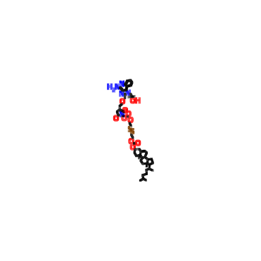 CC(C)CCCC(C)C1CCC2C3CC=C4CC(OC(=O)OCCSSCCOC(=O)ON5C(=O)CC(CCOCc6nc7c(N)nc8ccccc8c7n6CC(C)(C)O)C5=O)CCC4(C)C3CCC12C